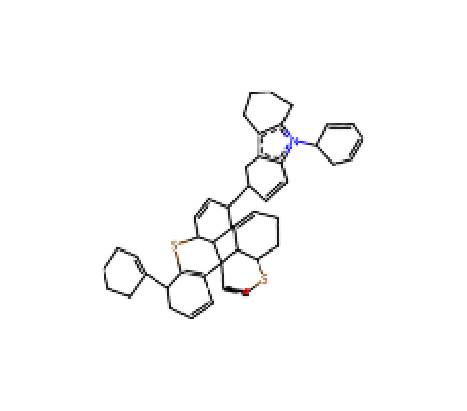 C1=CCC(n2c3c(c4c2CCCC4)CC(C2C=CC4SC5=C(C=CCC5C5=CCCCC5)C5(C6=CCCC=C6SC6CCC=CC65)C4C2)C=C3)C=C1